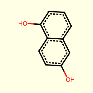 Oc1ccc2c(O)[c]ccc2c1